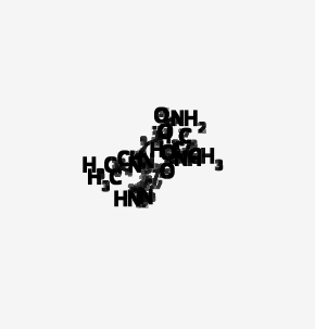 CC(C)(C)Cn1cnc(CCCOC(N)=O)c1.CCC(C)(C)NC(=O)OCCCc1c[nH]cn1